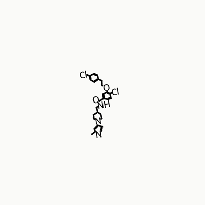 Cc1cc(N2CCC(CNC(=O)c3ccc(Cl)c(OCCc4ccc(Cl)cc4)c3)CC2)ccn1